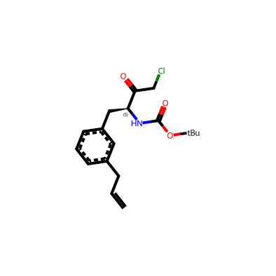 C=CCc1cccc(C[C@H](NC(=O)OC(C)(C)C)C(=O)CCl)c1